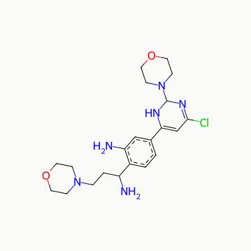 Nc1cc(C2=CC(Cl)=NC(N3CCOCC3)N2)ccc1C(N)CCN1CCOCC1